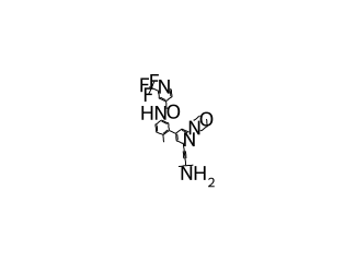 Cc1ccc(NC(=O)c2ccnc(C(F)(F)F)c2)cc1-c1cc(C#CC(C)(C)N)nc(N2CCOCC2)c1